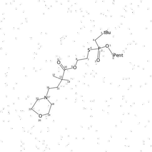 CCCC(C)OP(=O)(CC(C)(C)C)SCCOC(=O)C(C)(C)CCN1CCOCC1